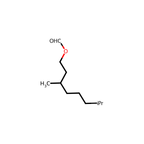 CC(C)CCCC(C)CCOC=O